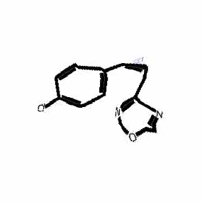 Clc1ccc(/C=C\c2ncon2)cc1